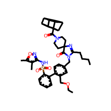 CCCCC1=NC2(CCN(C(=O)C34C5C6C7C5C3C7C64)CC2)C(=O)N1Cc1ccc(-c2ccccc2S(=O)(=O)Nc2noc(C)c2C)c(COCC)c1